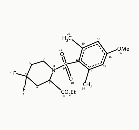 CCOC(=O)C1CC(F)(F)CCN1S(=O)(=O)c1c(C)cc(OC)cc1C